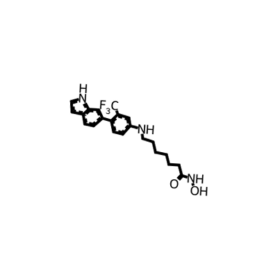 O=C(CCCCCCNc1ccc(-c2ccc3cc[nH]c3c2)c(C(F)(F)F)c1)NO